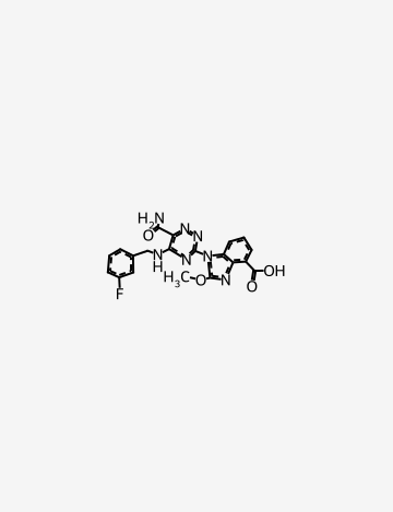 COc1nc2c(C(=O)O)cccc2n1-c1nnc(C(N)=O)c(NCc2cccc(F)c2)n1